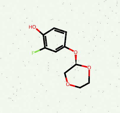 Oc1ccc(O[C@@H]2COCCO2)cc1F